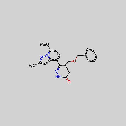 COc1ccc(C2=NNC(=O)CC2COCc2ccccc2)c2cc(C(F)(F)F)nn12